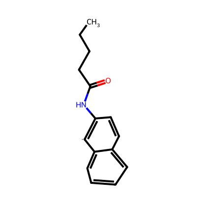 CCCCC(=O)Nc1[c]c2ccccc2cc1